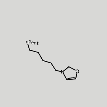 [CH2]CCCCCCCCCN1C=COC1